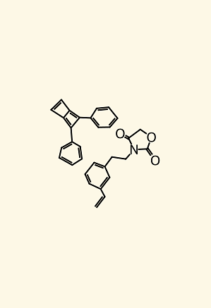 C=Cc1cccc(CCN2C(=O)COC2=O)c1.c1ccc(-c2c3ccc-3c2-c2ccccc2)cc1